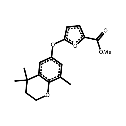 COC(=O)c1ccc(Oc2cc(C)c3c(c2)C(C)(C)CCO3)o1